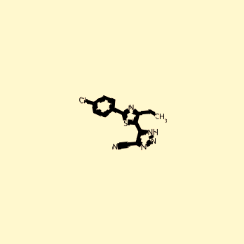 CCc1nc(-c2ccc(Cl)cc2)sc1-c1[nH]nnc1C#N